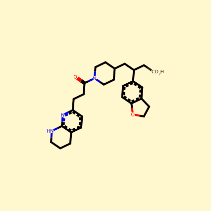 O=C(O)CC(CC1CCN(C(=O)CCc2ccc3c(n2)NCCC3)CC1)c1ccc2c(c1)CCO2